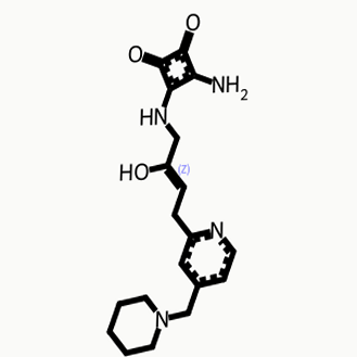 Nc1c(NC/C(O)=C/Cc2cc(CN3CCCCC3)ccn2)c(=O)c1=O